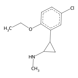 CCOc1ccc(Cl)cc1C1CC1NC